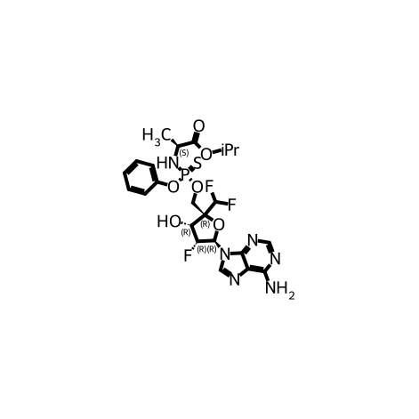 CC(C)OC(=O)[C@H](C)NP(=S)(OC[C@@]1(C(F)F)O[C@@H](n2cnc3c(N)ncnc32)[C@H](F)[C@@H]1O)Oc1ccccc1